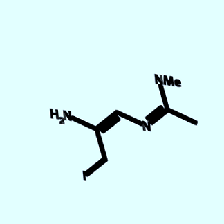 CN/C(C)=N\C=C(\N)CI